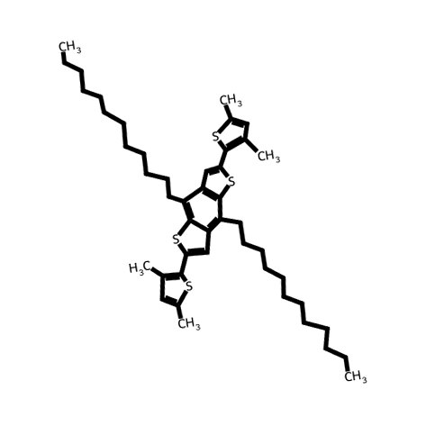 CCCCCCCCCCCCc1c2cc(-c3sc(C)cc3C)sc2c(CCCCCCCCCCCC)c2cc(-c3sc(C)cc3C)sc12